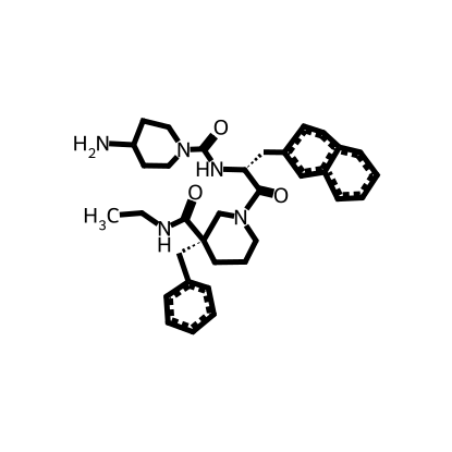 CCNC(=O)[C@]1(Cc2ccccc2)CCCN(C(=O)[C@@H](Cc2ccc3ccccc3c2)NC(=O)N2CCC(N)CC2)C1